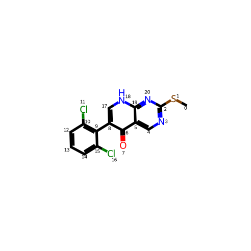 CSc1ncc2c(=O)c(-c3c(Cl)cccc3Cl)c[nH]c2n1